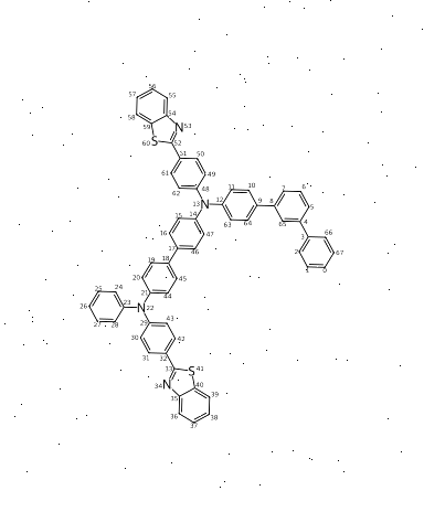 c1ccc(-c2cccc(-c3ccc(N(c4ccc(-c5ccc(N(c6ccccc6)c6ccc(-c7nc8ccccc8s7)cc6)cc5)cc4)c4ccc(-c5nc6ccccc6s5)cc4)cc3)c2)cc1